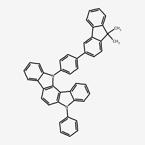 CC1(C)c2ccccc2-c2cc(-c3ccc(-n4c5ccccc5c5ccc6c(c7ccccc7n6-c6ccccc6)c54)cc3)ccc21